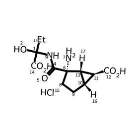 CCC(O)(NC(=O)[C@]1(N)CC[C@H]2[C@H](C(=O)O)[C@H]21)C(=O)O.Cl